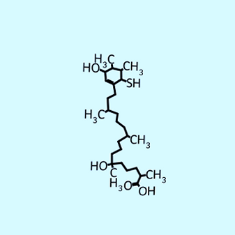 CC(CCCC(C)CCC1=CC(O)C(C)C(C)C1S)CCCC(C)(O)CCCC(C)C(=O)O